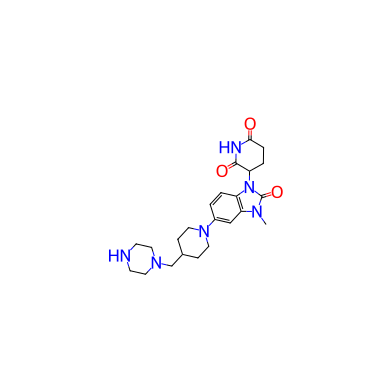 Cn1c(=O)n(C2CCC(=O)NC2=O)c2ccc(N3CCC(CN4CCNCC4)CC3)cc21